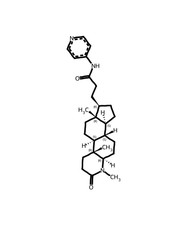 CN1C(=O)CC[C@]2(C)[C@H]3CC[C@]4(C)[C@@H](CCC(=O)Nc5ccncc5)CC[C@H]4[C@@H]3CC[C@@H]12